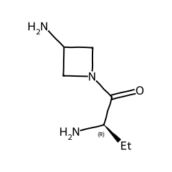 CC[C@@H](N)C(=O)N1CC(N)C1